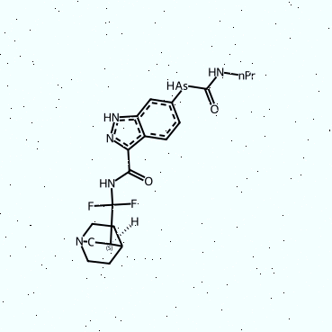 CCCNC(=O)[AsH]c1ccc2c(C(=O)NC(F)(F)[C@@H]3CN4CCC3CC4)n[nH]c2c1